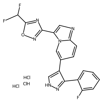 Cl.Cl.Cl.Fc1ccccc1-c1n[nH]cc1-c1ccc2ncc(-c3noc(C(F)F)n3)n2c1